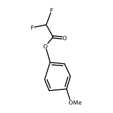 COc1ccc(OC(=O)C(F)F)cc1